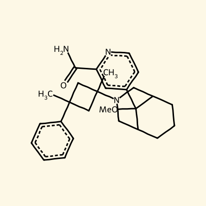 COC1(c2ccnc(C(N)=O)c2)C2CCCC1CN(C1(C)CC(C)(c3ccccc3)C1)C2